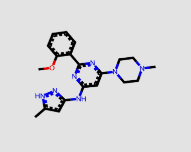 COc1ccccc1-c1nc(Nc2cc(C)[nH]n2)cc(N2CCN(C)CC2)n1